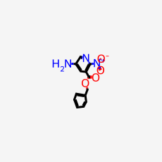 Nc1cnc([N+](=O)[O-])c(C(=O)OCc2ccccc2)c1